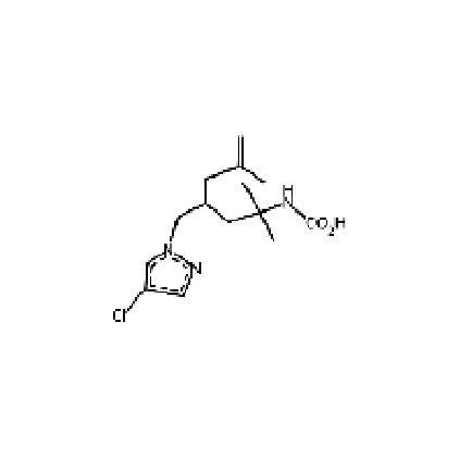 C=C(C)CC(Cn1cc(Cl)cn1)CC(C)(C)NC(=O)O